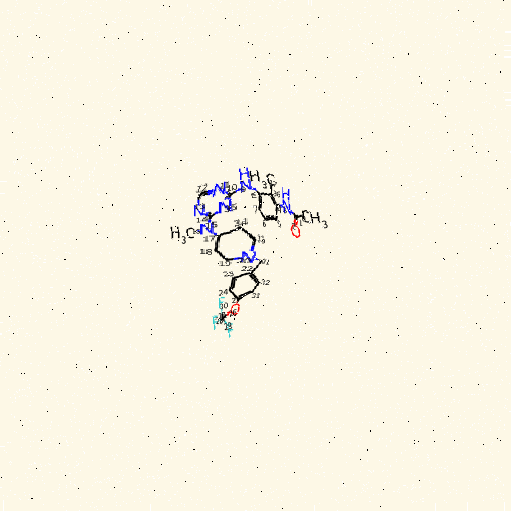 CC(=O)Nc1cccc(Nc2ncnc(N(C)C3CCN(Cc4ccc(OC(F)(F)F)cc4)CC3)n2)c1C